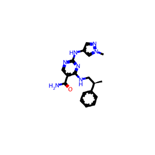 C[C@H](CNc1nc(Nc2cnn(C)c2)ncc1C(N)=O)c1ccccc1